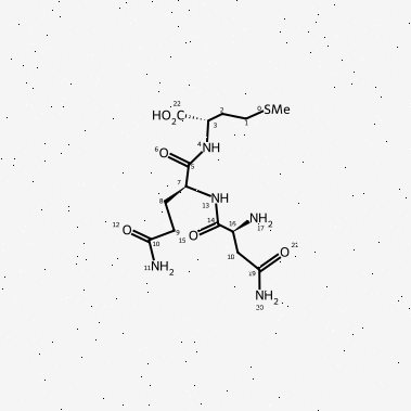 CSCC[C@H](NC(=O)[C@H](CCC(N)=O)NC(=O)[C@@H](N)CC(N)=O)C(=O)O